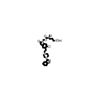 CCCCCCCCCCCCCN(CC)C(=O)OCN1C(=O)Cc2cc(CCN3CCN(c4nsc5ccccc45)CC3)c(Cl)cc21